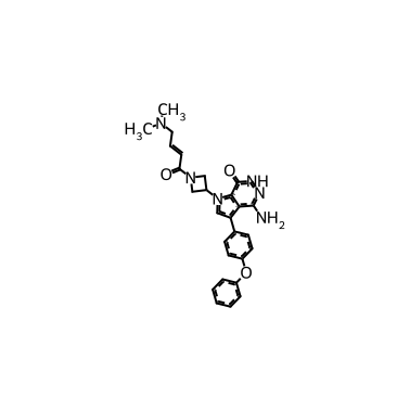 CN(C)CC=CC(=O)N1CC(n2cc(-c3ccc(Oc4ccccc4)cc3)c3c(N)n[nH]c(=O)c32)C1